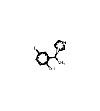 CC(c1cc(F)ccc1O)n1ccnc1